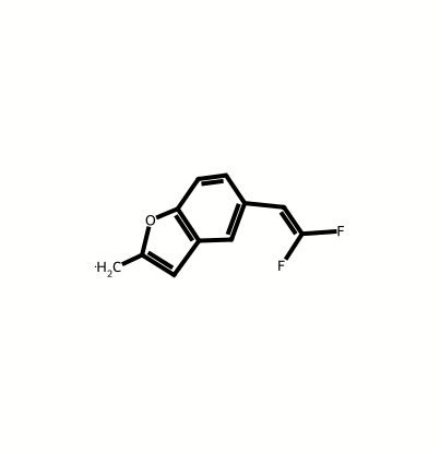 [CH2]c1cc2cc(C=C(F)F)ccc2o1